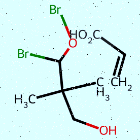 C=CC(=O)O.CC(C)(CO)C(Br)OBr